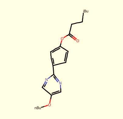 CCCCOc1cnc(-c2ccc(OC(=O)CCC(C)CC)cc2)nc1